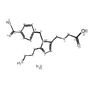 CCCCc1ncc(CSCC(=O)O)n1Cc1ccc(C(=O)O)cc1.O